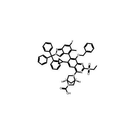 CCS(=O)(=O)c1nc(N2C[C@@H]3C[C@H]2CN3C(=O)O)c2cc(C3CC3)c(-c3c(C)c(F)cc4nn(C(c5ccccc5)(c5ccccc5)c5ccccc5)cc34)c(OCc3ccccc3)c2n1